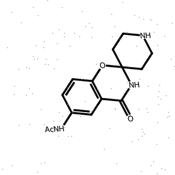 CC(=O)Nc1ccc2c(c1)C(=O)NC1(CCNCC1)O2